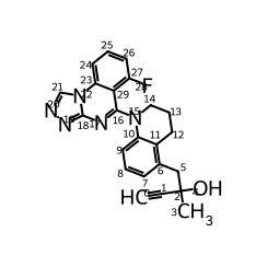 C#CC(C)(O)Cc1cccc2c1CCCN2c1nc2nncn2c2cccc(F)c12